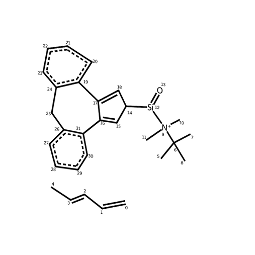 C=CC=CC.CC(C)(C)[N+](C)(C)[Si](=O)C1C=C2C(=C1)c1ccccc1Cc1ccccc12